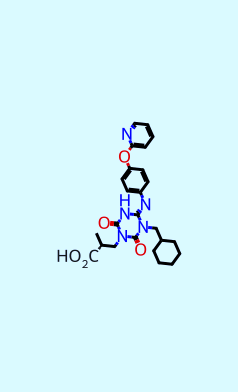 C[C@@H](Cn1c(=O)[nH]/c(=N\c2ccc(Oc3ccccn3)cc2)n(CC2CCCCC2)c1=O)C(=O)O